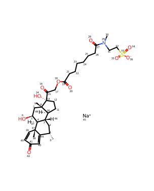 C[C@H]1C[C@@H]2[C@H]([C@@H](O)C[C@@]3(C)[C@H]2CC[C@]3(O)C(=O)COC(=O)CCCCCCC(=O)N(C)CCS(=O)(=O)[O-])[C@@]2(C)C=CC(=O)C=C12.[Na+]